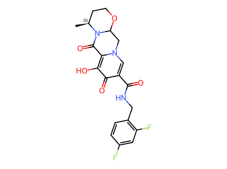 C[C@H]1CCOC2Cn3cc(C(=O)NCc4ccc(F)cc4F)c(=O)c(O)c3C(=O)N21